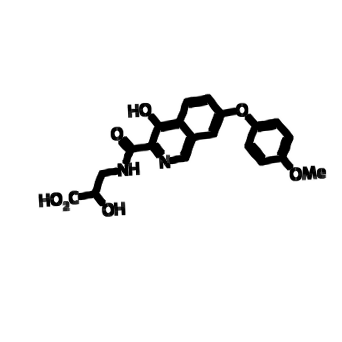 COc1ccc(Oc2ccc3c(O)c(C(=O)NCC(O)C(=O)O)ncc3c2)cc1